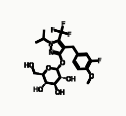 COc1ccc(Cc2c(O[C@@H]3O[C@H](CO)[C@@H](O)[C@H](O)[C@H]3O)nn(C(C)C)c2C(F)(F)F)cc1F